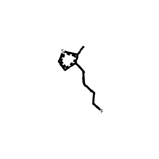 Cc1sccc1CCCCF